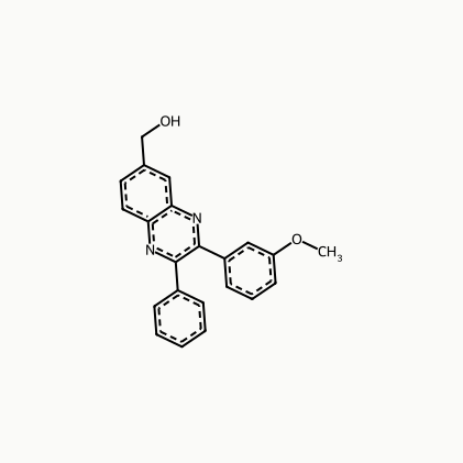 COc1cccc(-c2nc3cc(CO)ccc3nc2-c2ccccc2)c1